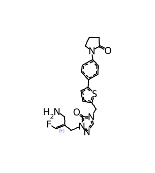 NC/C(=C\F)Cn1ncn(Cc2ccc(-c3ccc(N4CCCC4=O)cc3)s2)c1=O